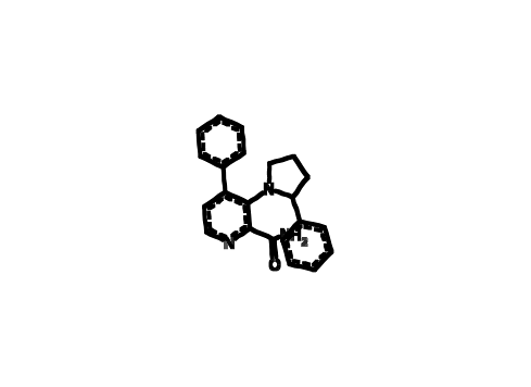 NC(=O)c1nccc(-c2ccccc2)c1N1CCCC1c1ccccc1